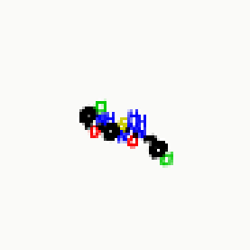 Cc1cccc(Cl)c1NC(=O)c1ccc2nc(NC(=O)NCCc3ccc(Cl)cc3)sc2c1